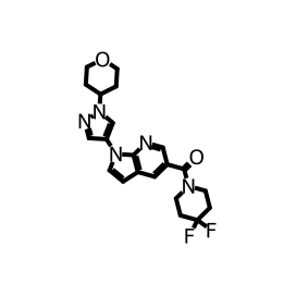 O=C(c1cnc2c(ccn2-c2cnn(C3CCOCC3)c2)c1)N1CCC(F)(F)CC1